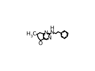 CC1CC(=O)c2cnc(NCCc3ccccc3)nc2C1